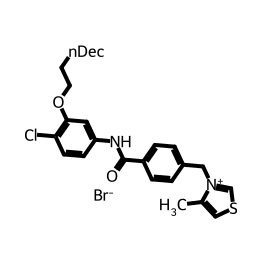 CCCCCCCCCCCCOc1cc(NC(=O)c2ccc(C[n+]3cscc3C)cc2)ccc1Cl.[Br-]